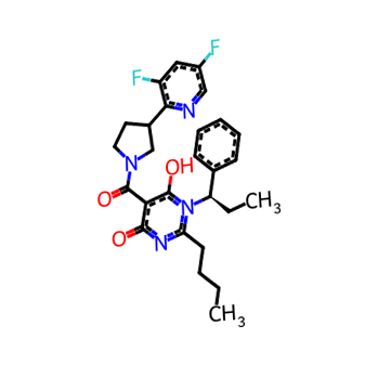 CCCCc1nc(=O)c(C(=O)N2CCC(c3ncc(F)cc3F)C2)c(O)n1[C@H](CC)c1ccccc1